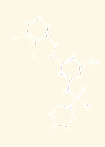 CSc1cc(N[SH](C)(=O)N2CCOCC2)nc(SCc2cccc(F)c2F)n1